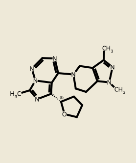 Cc1nn(C)c2c1CN(c1ncnn3c(C)nc([C@@H]4CCCO4)c13)CC2